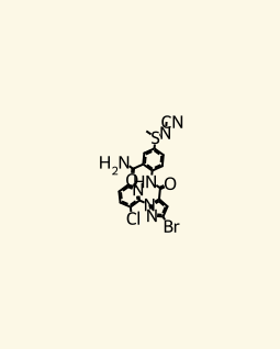 C/S(=N\C#N)c1ccc(NC(=O)c2cc(Br)nn2-c2ncccc2Cl)c(C(N)=O)c1